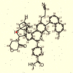 CNC(=O)c1ccc(-c2nc3c(F)c(-c4cccc5ccc(F)cc45)c(CCC#N)cc3c3c2cc(C(C)N2CCOCC2=O)n3[C@H]2[C@H]3CN[C@@H]2C3)cn1